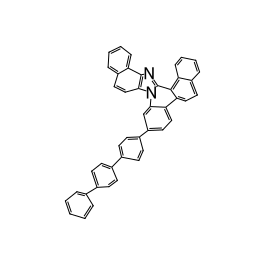 c1ccc(-c2ccc(-c3ccc(-c4ccc5c6ccc7ccccc7c6c6nc7c8ccccc8ccc7n6c5c4)cc3)cc2)cc1